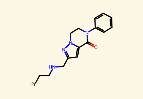 CC(C)CCNCc1cc2n(n1)CCN(c1ccccc1)C2=O